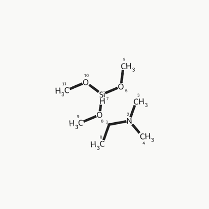 CCN(C)C.CO[SiH](OC)OC